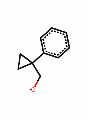 [O]CC1(c2ccccc2)CC1